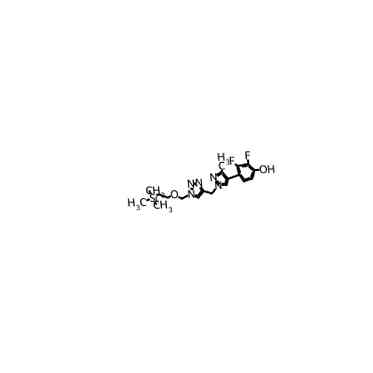 Cc1nn(Cc2cn(COCC[Si](C)(C)C)nn2)cc1-c1ccc(O)c(F)c1F